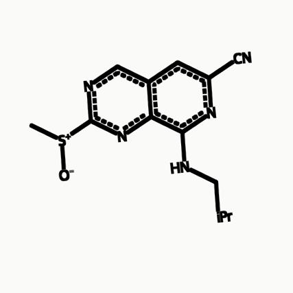 CC(C)CNc1nc(C#N)cc2cnc([S+](C)[O-])nc12